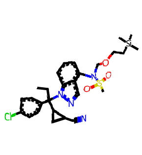 CCC(c1ccc(Cl)cc1)(C1CC1C#N)n1ncc2c(N(COCC[Si](C)(C)C)S(C)(=O)=O)cccc21